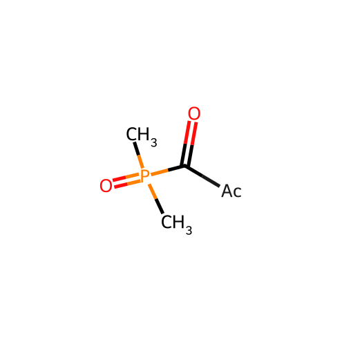 CC(=O)C(=O)P(C)(C)=O